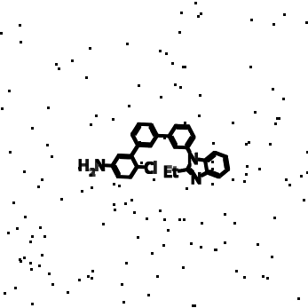 CCc1nc2ccccc2n1-c1cccc(-c2cccc(C3=CC(N)=CCC3Cl)c2)c1